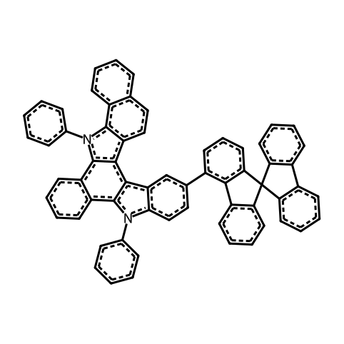 c1ccc(-n2c3ccc(-c4cccc5c4-c4ccccc4C54c5ccccc5-c5ccccc54)cc3c3c4c5ccc6ccccc6c5n(-c5ccccc5)c4c4ccccc4c32)cc1